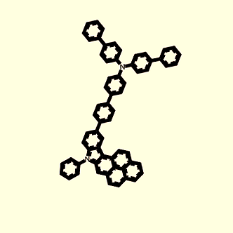 c1ccc(-c2ccc(N(c3ccc(-c4ccccc4)cc3)c3ccc(-c4ccc(-c5ccc6c(c5)c5c7ccc8cccc9ccc(cc5n6-c5ccccc5)c7c98)cc4)cc3)cc2)cc1